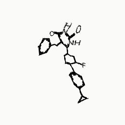 O=c1[nH]c(C2CC=C(c3ccc(C4CC4)cc3)C(F)C2)c(Cc2ccccc2)c(=O)[nH]1